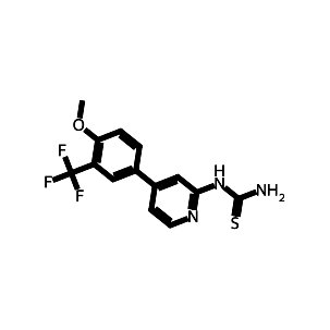 COc1ccc(-c2ccnc(NC(N)=S)c2)cc1C(F)(F)F